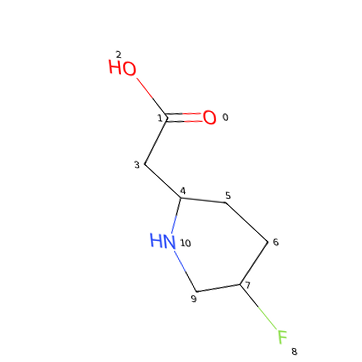 O=C(O)CC1CCC(F)CN1